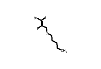 CCCCCOCC(I)=C(Br)I